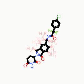 Bc1c(B)c(C(B)(B)N(B)C(=O)C(F)(F)c2ccc(Cl)cc2)c(B)c2c1C(=O)N(C1CCC(=O)NC1=O)C2B